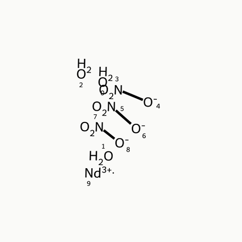 O.O.O.O=[N+]([O-])[O-].O=[N+]([O-])[O-].O=[N+]([O-])[O-].[Nd+3]